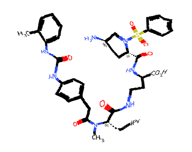 Cc1ccccc1NC(=O)Nc1ccc(CC(=O)N(C)[C@@H](CC(C)C)C(=O)NCCC(NC(=O)[C@@H]2C[C@@H](N)CN2S(=O)(=O)c2ccccc2)C(=O)O)cc1